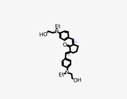 CCN(CCO)c1ccc(/C=C2/CCC/C(=C\c3ccc(N(CC)CCO)cc3)C2=O)cc1